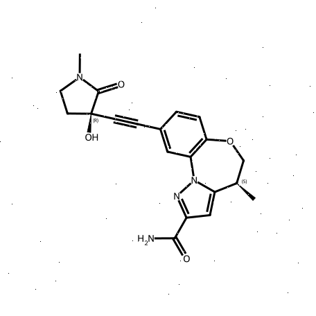 C[C@@H]1COc2ccc(C#C[C@]3(O)CCN(C)C3=O)cc2-n2nc(C(N)=O)cc21